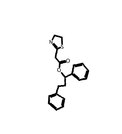 O=C(CC1=NCCS1)OC(CCc1ccccc1)c1ccccc1